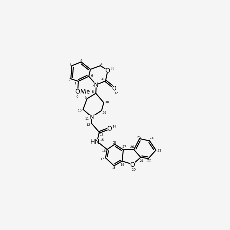 COc1cccc2c1N(C1CCN(CC(=O)Nc3ccc4oc5ccccc5c4c3)CC1)C(=O)OC2